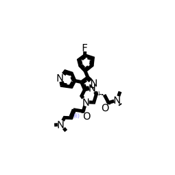 CN(C)C/C=C/C(=O)N1Cc2c(-c3ccncc3)c(-c3ccc(F)cc3)nn2[C@H](CC(=O)N(C)C)C1